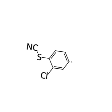 N#CSc1cc[c]cc1Cl